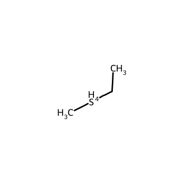 CC[SH4]C